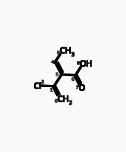 C=C(Cl)C(=CC)C(=O)O